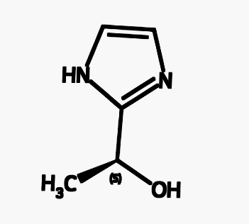 C[C@H](O)c1ncc[nH]1